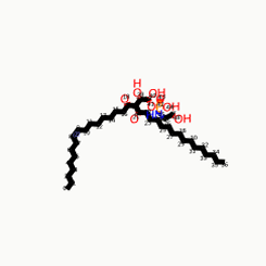 CCCCCCCC/C=C\CCCCCCCC(=O)C(C(=O)CCCCCCCCCCCCCCC)C(O)C(O)OP(=O)(O)NCCO